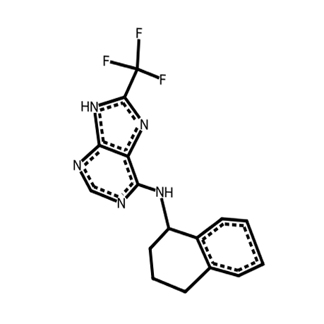 FC(F)(F)c1nc2c(NC3CCCc4ccccc43)ncnc2[nH]1